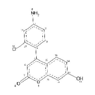 Nc1ccc(-c2cc(=O)oc3cc(O)ccc23)c(Cl)c1